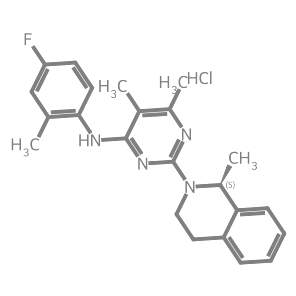 Cc1cc(F)ccc1Nc1nc(N2CCc3ccccc3[C@@H]2C)nc(C)c1C.Cl